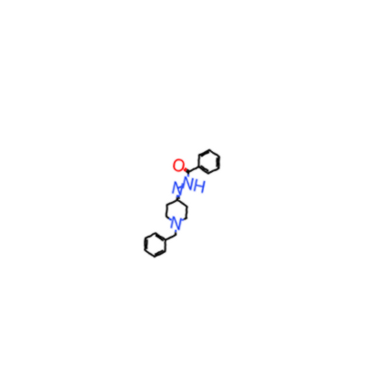 O=C(NN=C1CCN(Cc2ccccc2)CC1)c1ccccc1